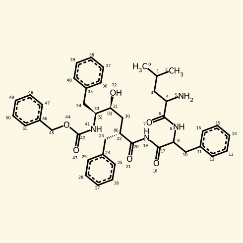 CC(C)CC(N)C(=O)NC(Cc1ccccc1)C(=O)NC(=O)[C@H](Cc1ccccc1)C[C@H](O)[C@H](Cc1ccccc1)NC(=O)OCc1ccccc1